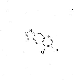 N#Cc1cnc2c(c1Cl)C=C1N=NN=C1C2